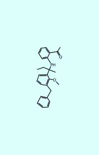 CCC(C)(Pc1ccccc1C(C)=O)c1cccc(Cc2ccccc2)c1OC